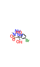 CN1C(=N)N[C@](CO)(c2cc(Br)ccc2O)CS1(=O)=O